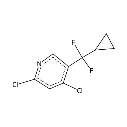 FC(F)(c1cnc(Cl)cc1Cl)C1CC1